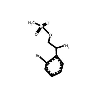 CC(COS(C)(=O)=O)c1ccccc1Br